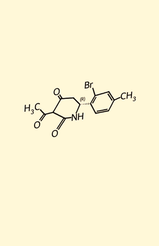 CC(=O)C1C(=O)C[C@H](c2ccc(C)cc2Br)NC1=O